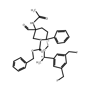 CC(=O)NC1(C=O)CC[C@@](CO[C@H](C)c2cc(CF)cc(CF)c2)(c2ccccc2)N(C(=O)OCc2ccccc2)C1